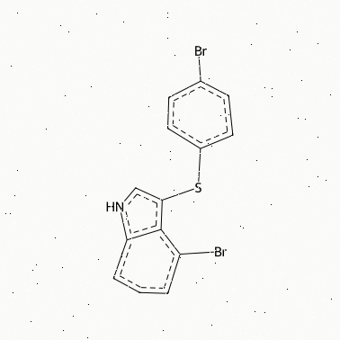 Brc1ccc(Sc2c[nH]c3cccc(Br)c23)cc1